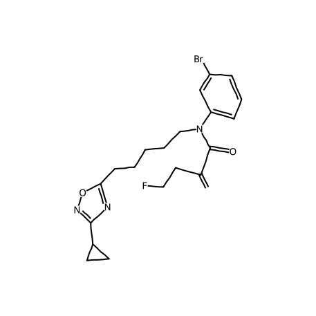 C=C(CCF)C(=O)N(CCCCCc1nc(C2CC2)no1)c1cccc(Br)c1